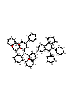 c1ccc(-c2cc(-c3ccccc3)cc(N(c3cccc(-c4ccc5c(c4)c(-c4ccccc4)c(-c4ccccc4)c4ccccc45)c3)c3c(-c4ccccc4)cccc3-c3ccccc3)c2)cc1